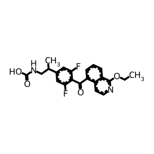 CCOc1nccc2c(C(=O)c3c(F)cc(C(C)CNC(=O)O)cc3F)cccc12